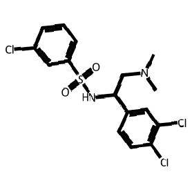 CN(C)CC(NS(=O)(=O)c1cccc(Cl)c1)c1ccc(Cl)c(Cl)c1